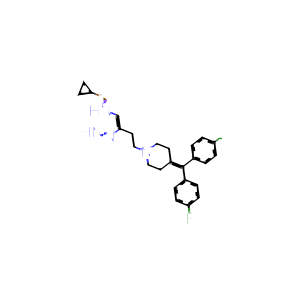 N=N/C(=C\NSC1CC1)CCN1CCC(=C(c2ccc(F)cc2)c2ccc(F)cc2)CC1